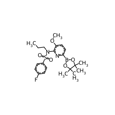 CCCN(c1nc(B2OC(C)(C)C(C)(C)O2)ccc1OC)S(=O)(=O)c1ccc(F)cc1